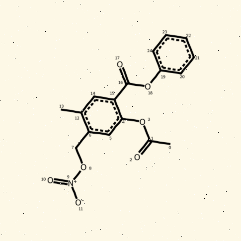 CC(=O)Oc1cc(CO[N+](=O)[O-])c(C)cc1C(=O)Oc1ccccc1